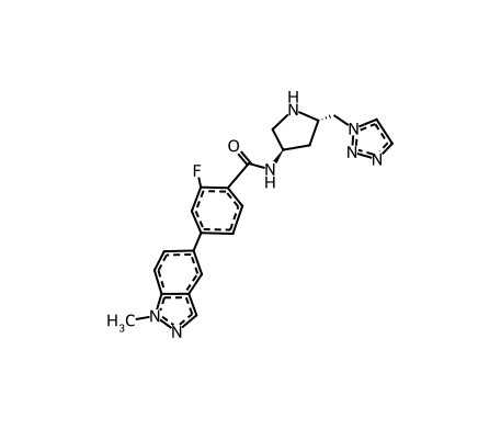 Cn1ncc2cc(-c3ccc(C(=O)N[C@H]4CN[C@H](Cn5ccnn5)C4)c(F)c3)ccc21